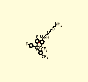 NCCOCCOCCNC(=O)c1ccc(Cn2c(-c3ccc(C(F)(F)F)cc3C(F)(F)F)nc(-c3ccc(F)cc3)c2-c2ccc(F)cc2)cc1